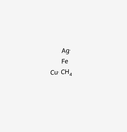 C.[Ag].[Cu].[Fe]